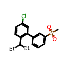 CCC(CC)c1ccc(Cl)cc1-c1cccc(S(C)(=O)=O)c1